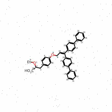 CCO[C@@H](Cc1ccc(OCC=C(c2ccc(-c3ccccc3)cc2)c2ccc(-c3ccccc3)cc2)cc1)C(=O)O